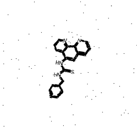 S=C(NCc1ccccc1)Nc1cc2cccnc2c2ncccc12